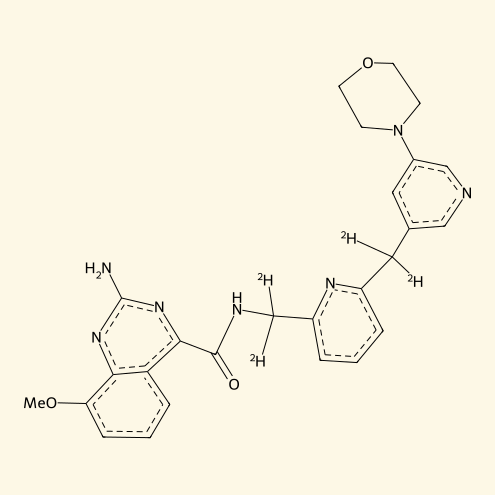 [2H]C([2H])(NC(=O)c1nc(N)nc2c(OC)cccc12)c1cccc(C([2H])([2H])c2cncc(N3CCOCC3)c2)n1